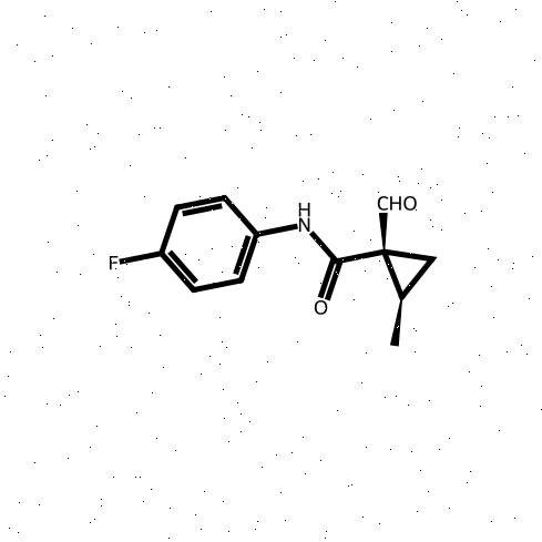 C[C@@H]1C[C@@]1(C=O)C(=O)Nc1ccc(F)cc1